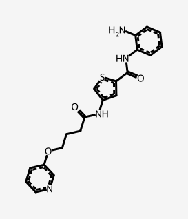 Nc1ccccc1NC(=O)c1cc(NC(=O)CCCOc2cccnc2)cs1